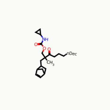 CCCCCCCCCCCCCC(=O)C(C)(COC(=O)NC1CC1)CC1CC2C=CC1C2